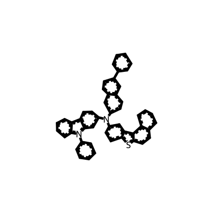 c1ccc(-c2ccc3cc(N(c4ccc5sc6ccc7ccccc7c6c5c4)c4ccc5c6ccccc6n(-c6ccccc6)c5c4)ccc3c2)cc1